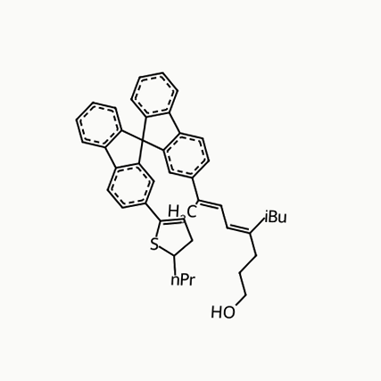 CCCC1CC=C(c2ccc3c(c2)C2(c4ccccc4-3)c3ccccc3-c3ccc(/C(C)=C/C=C(/CCCO)C(C)CC)cc32)S1